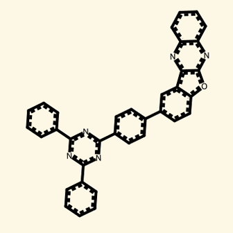 c1ccc(-c2nc(-c3ccccc3)nc(-c3ccc(-c4ccc5oc6nc7ccccc7nc6c5c4)cc3)n2)cc1